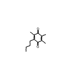 CCCCC1=C(C)C(=O)C(C)=C(C)C1=O